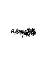 CCC(CC)N1CC2(CN(c3sc(-c4n[nH]c(-c5cc(OC)c6ncnn6c5)c4CC(F)(F)F)nc3C)C2)C1